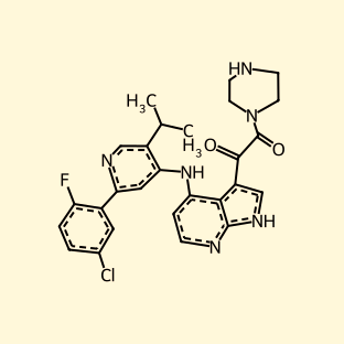 CC(C)c1cnc(-c2cc(Cl)ccc2F)cc1Nc1ccnc2[nH]cc(C(=O)C(=O)N3CCNCC3)c12